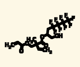 C=CC(=O)OCC(C)(C=C)C(=O)OC(CO)CC(F)(F)C(F)(F)C(F)(F)C(F)(F)F